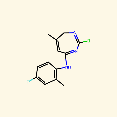 CC1=CC(Nc2ccc(F)cc2C)=NC(Cl)=NC1